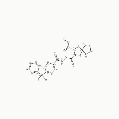 COC(=O)[C@@H]1CC2(CN1C(=O)CNC(=O)c1ccc3c(c1)-c1ccccc1C3(C)C)OCCO2